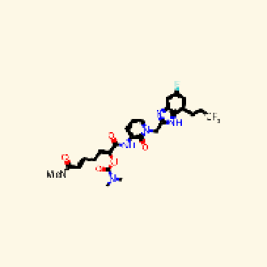 CNC(=O)/C=C/CCC(OC(=O)N(C)C)C(=O)Nc1cccn(Cc2nc3cc(F)cc(CCC(F)(F)F)c3[nH]2)c1=O